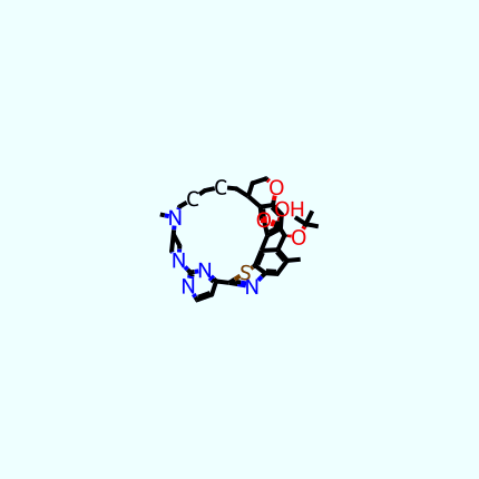 Cc1cc2nc3sc2c(c1[C@H](OC(C)(C)C)C(=O)O)-c1ccc2c(c1)C(CCCCCN(C)C1CN(C1)c1nccc-3n1)CCO2